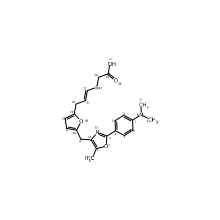 Cc1oc(-c2ccc(N(C)C)cc2)nc1Cc1ccc(C/C=C/SCC(=O)O)o1